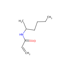 C=CC(=O)NC(C)CCCC